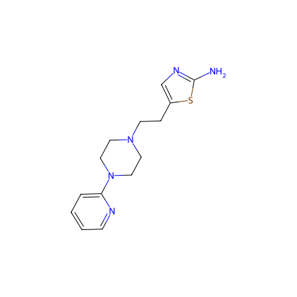 Nc1ncc(CCN2CCN(c3ccccn3)CC2)s1